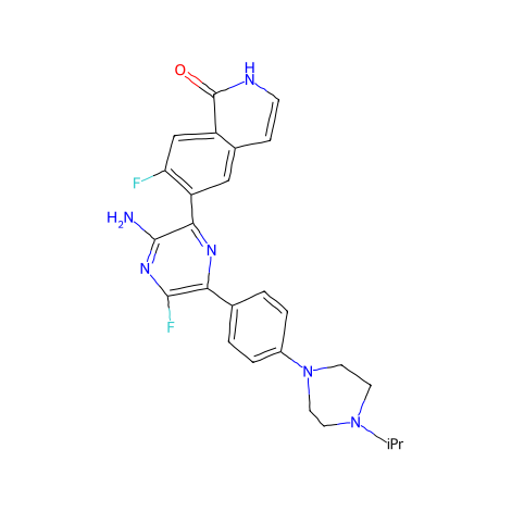 CC(C)N1CCN(c2ccc(-c3nc(-c4cc5cc[nH]c(=O)c5cc4F)c(N)nc3F)cc2)CC1